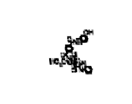 O=C(NCc1cccc(O)c1)c1ccc(C(=O)N[C@@H](CNC(=O)c2nc3ccccc3nc2O)C(=O)O)c(Cl)c1